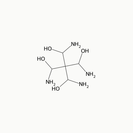 NC(O)C(C(N)O)(C(N)O)C(N)O